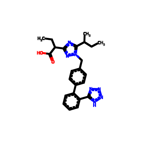 CCC(C)c1nc(C(CC)C(=O)O)nn1Cc1ccc(-c2ccccc2-c2nnn[nH]2)cc1